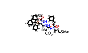 CC[C@H](C)C(COC(Cc1ccccc1)C(=O)N[C@H](CCSC)C(=O)O)NCC(CSC(c1ccccc1)(c1ccccc1)c1ccccc1)NC(=O)OC(C)(C)C